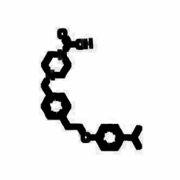 CC(C)c1ccc(OCCc2ccc(CN3CCN(C(=O)O)CC3)cc2)cc1